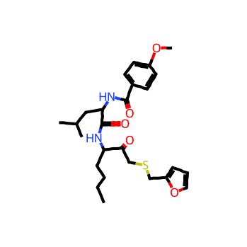 CCCCC(NC(=O)C(CC(C)C)NC(=O)c1ccc(OC)cc1)C(=O)CSCc1ccco1